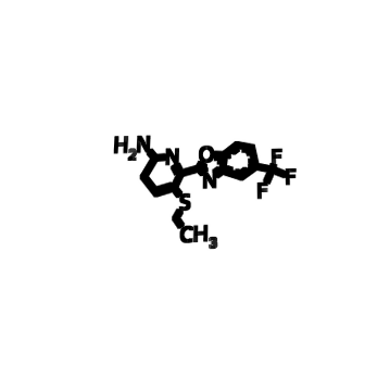 CCSC1=CCC(N)N=C1c1nc2cc(C(F)(F)F)ccc2o1